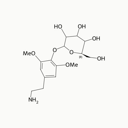 COc1cc(CCN)cc(OC)c1OC1O[C@H](CO)C(O)C(O)C1O